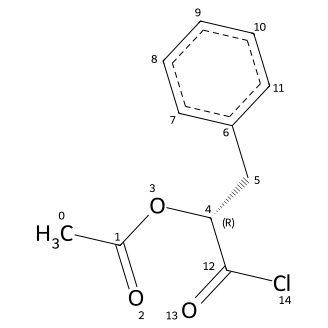 CC(=O)O[C@H](Cc1ccccc1)C(=O)Cl